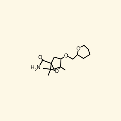 CC12CC(C(N)=O)(CC1OCC1CCCCO1)C(C)(C)O2